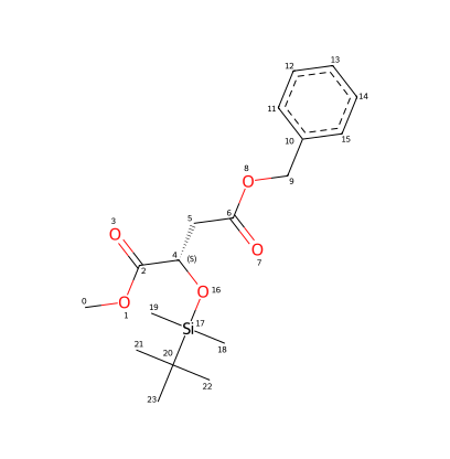 COC(=O)[C@H](CC(=O)OCc1ccccc1)O[Si](C)(C)C(C)(C)C